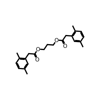 Cc1ccc(C)c(CC(=O)OCCCOC(=O)Cc2cc(C)ccc2C)c1